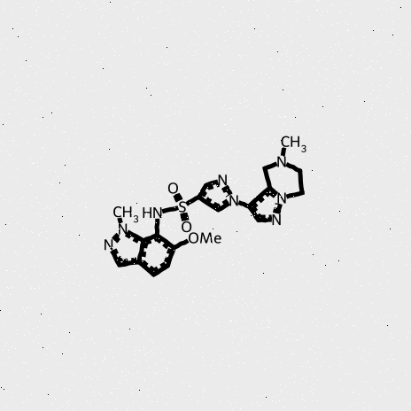 COc1ccc2cnn(C)c2c1NS(=O)(=O)c1cnn(-c2cnn3c2CN(C)CC3)c1